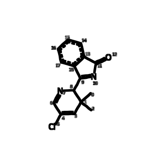 CC1(C)C=C(Cl)C=NC1C1=NC(=O)c2ccccc21